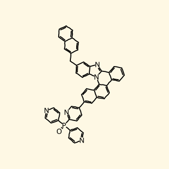 O=P(c1ccncc1)(c1ccncc1)c1ccc(-c2ccc3c(ccc4c5ccccc5c5nc6cc(Cc7ccc8ccccc8c7)ccc6n5c34)c2)cn1